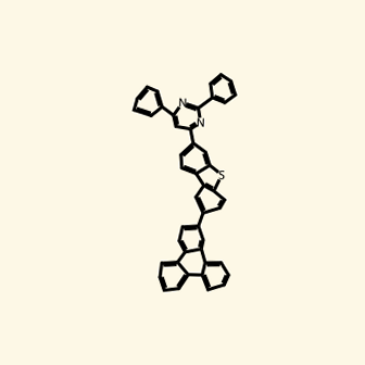 c1ccc(-c2cc(-c3ccc4c(c3)sc3ccc(-c5ccc6c7ccccc7c7ccccc7c6c5)cc34)nc(-c3ccccc3)n2)cc1